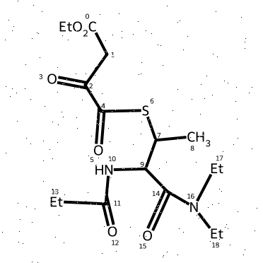 CCOC(=O)CC(=O)C(=O)SC(C)C(NC(=O)CC)C(=O)N(CC)CC